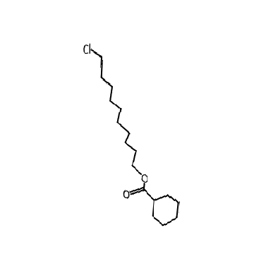 O=C(OCCCCCCCCCCCl)C1CCCCC1